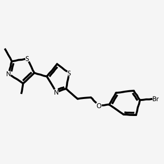 Cc1nc(C)c(-c2csc(CCOc3ccc(Br)cc3)n2)s1